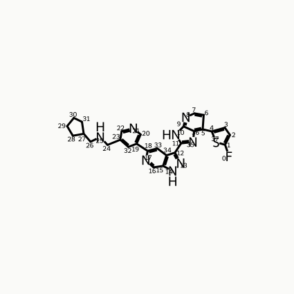 Fc1ccc(-c2ccnc3[nH]c(-c4n[nH]c5cnc(-c6cncc(CNCC7CCCC7)c6)cc45)nc23)s1